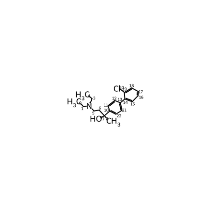 CCN(CC)CCC(C)(O)c1ccc(-c2ccccc2Cl)cc1